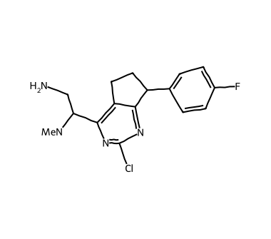 CNC(CN)c1nc(Cl)nc2c1CCC2c1ccc(F)cc1